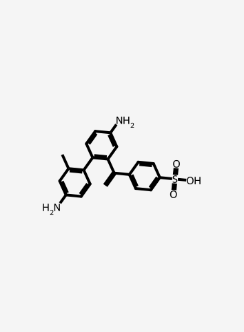 C=C(c1ccc(S(=O)(=O)O)cc1)c1cc(N)ccc1-c1ccc(N)cc1C